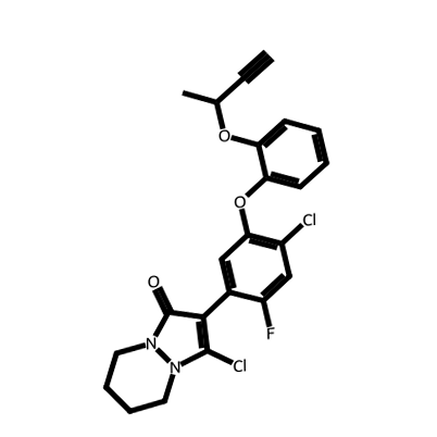 C#CC(C)Oc1ccccc1Oc1cc(-c2c(Cl)n3n(c2=O)CCCC3)c(F)cc1Cl